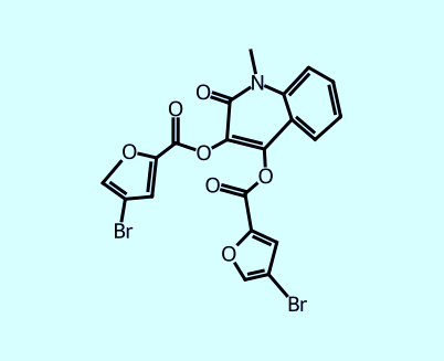 Cn1c(=O)c(OC(=O)c2cc(Br)co2)c(OC(=O)c2cc(Br)co2)c2ccccc21